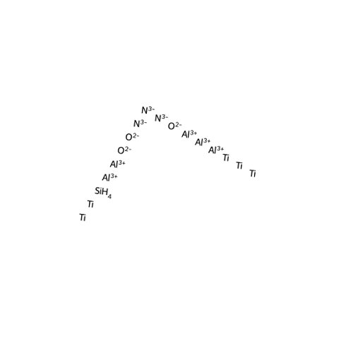 [Al+3].[Al+3].[Al+3].[Al+3].[Al+3].[N-3].[N-3].[N-3].[O-2].[O-2].[O-2].[SiH4].[Ti].[Ti].[Ti].[Ti].[Ti]